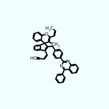 C#C/C=C\C1=C(Cc2ccc(-c3nc(-c4ccccc4)c4ccccc4n3)cc2)C2(C(C)=C(/C=C\C)Oc3ccccc32)c2ccccc21